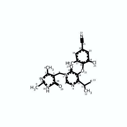 Cc1nc(C)c(Cn2cnc(C(C)F)c(Oc3c(C)cc(C#N)cc3Cl)c2=O)c(=O)[nH]1